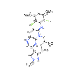 COCC(Cn1/c(=N/c2c(F)c(OC)cc(OC)c2F)ccc2ncc(-c3cnn(C)c3)nc21)N=O